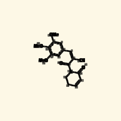 COc1cc(C=C(C#N)C(=O)N2CCC=CC2=O)cc(OC)c1OC